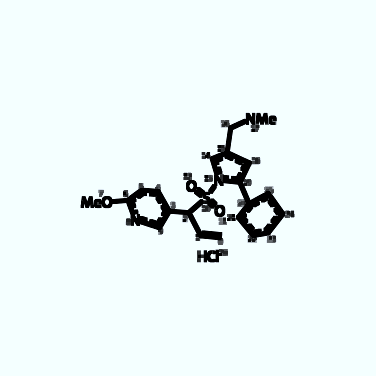 C=CC(c1ccc(OC)nc1)S(=O)(=O)n1cc(CNC)cc1-c1ccccc1.Cl